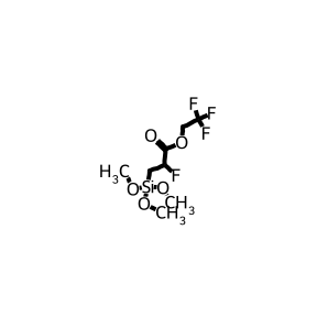 CO[Si](CC(F)C(=O)OCC(F)(F)F)(OC)OC